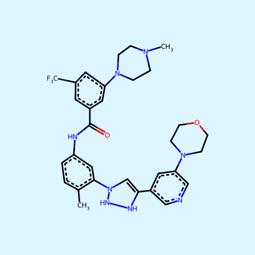 Cc1ccc(NC(=O)c2cc(N3CCN(C)CC3)cc(C(F)(F)F)c2)cc1N1C=C(c2cncc(N3CCOCC3)c2)NN1